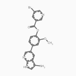 COc1cc(-c2cnc3[nH]cc(N)c3c2)ccc1OC(=O)c1cncc(Br)c1